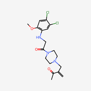 C=C(CN1CCN(C(=O)CNc2cc(Cl)c(Cl)cc2OC)CC1)C(C)=O